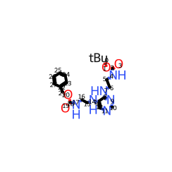 CC(C)(C)OC(=O)NCCNc1ncncc1NCCNC(=O)OCc1ccccc1